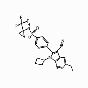 CCc1cnc2c(c1)c(C#N)c(-c1ccc(S(=O)(=O)NC3(C(F)(F)F)CC3)cc1)n2C1CCC1